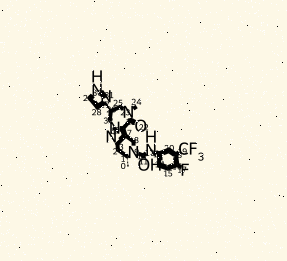 C[C@@H]1Cc2nn3c(c2CN1C(O)Nc1ccc(F)c(C(F)(F)F)c1)C(=O)N(C)C[C@H](c1cc[nH]n1)C3